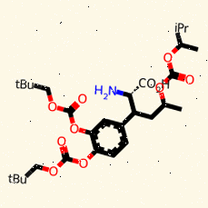 CC(CC(c1ccc(OC(=O)OCC(C)(C)C)c(OC(=O)OCC(C)(C)C)c1)[C@H](N)C(=O)O)OC(=O)OC(C)C(C)C